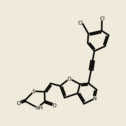 O=C1NC(=O)/C(=C\c2cc3cncc(C#Cc4ccc(Cl)c(Cl)c4)c3o2)S1